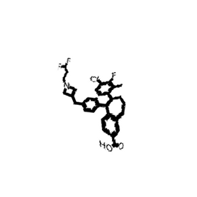 Cc1c(C2=C(c3ccc(CC4CN(CCC(F)F)C4)cc3)c3ccc(C(=O)O)cc3CCC2)ccc(Cl)c1F